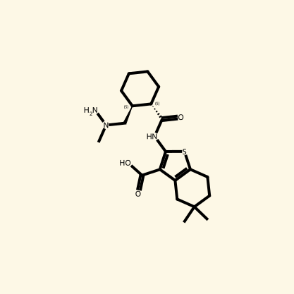 CN(N)C[C@H]1CCCC[C@@H]1C(=O)Nc1sc2c(c1C(=O)O)CC(C)(C)CC2